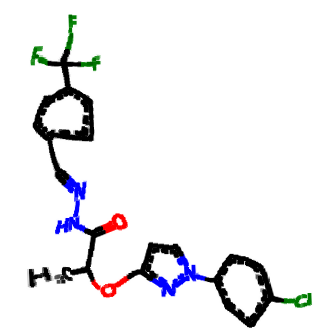 CC(Oc1ccn(-c2ccc(Cl)cc2)n1)C(=O)NN=Cc1ccc(C(F)(F)F)cc1